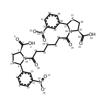 O=C(O)[C@@H]1CSC(c2cccc([N+](=O)[O-])c2)N1C(=O)CCCCCC(=O)N1C(c2cccc([N+](=O)[O-])c2)SC[C@H]1C(=O)O